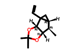 C=CC12C[C@@H]1[C@@H](C)[C@@H]1OC(C)(C)O[C@@H]12